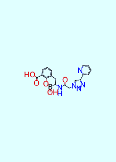 O=C(Cn1cc(-c2ccccn2)nn1)NC1Cc2cccc(C(=O)O)c2OB1O